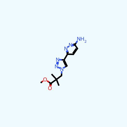 COC(=O)C(C)(C)Cn1cc(-c2ccc(N)nn2)nn1